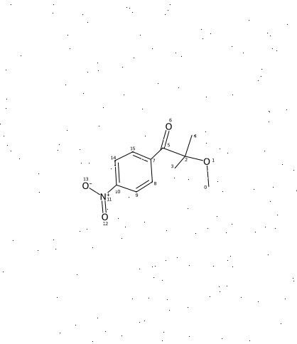 COC(C)(C)C(=O)c1ccc([N+](=O)[O-])cc1